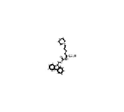 O=C(N[C@@H](CCCCN1CCOCC1)C(=O)O)OCC1c2ccccc2-c2ccccc21